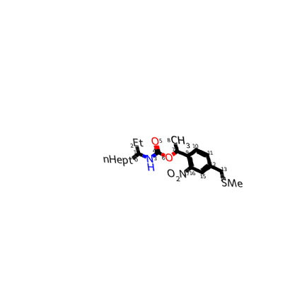 CCCCCCCC(CC)NC(=O)OC(C)c1ccc(CSC)cc1[N+](=O)[O-]